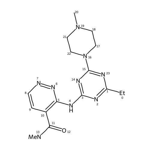 CCc1nc(Nc2nnccc2C(=O)NC)nc(N2CCN(C)CC2)n1